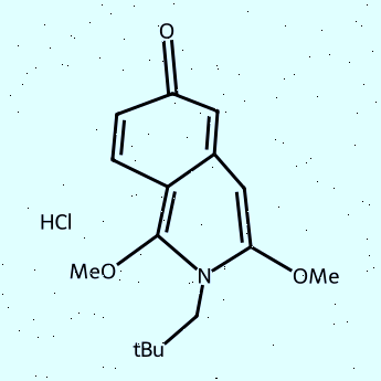 COc1cc2cc(=O)ccc-2c(OC)n1CC(C)(C)C.Cl